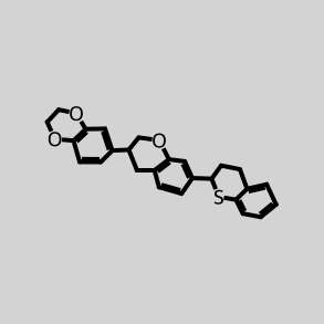 c1ccc2c(c1)CCC(c1ccc3c(c1)OCC(c1ccc4c(c1)OCCO4)C3)S2